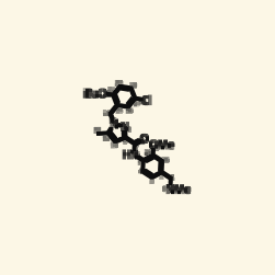 CNCc1ccc(NC(=O)c2cc(C)n(Cc3cc(Cl)ccc3OCC(C)C)n2)c(OC)c1